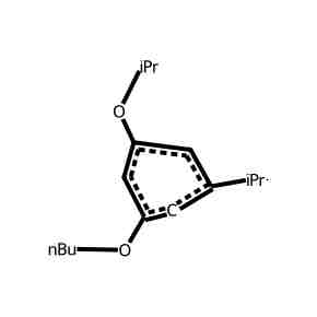 CCCCOc1cc(OC(C)C)cc([C](C)C)c1